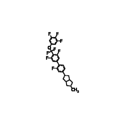 CC1CC2CC(c3ccc(-c4cc(F)c(C(F)(F)Oc5cc(F)c(F)c(F)c5)c(F)c4)c(F)c3)CC2C1